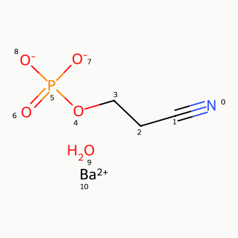 N#CCCOP(=O)([O-])[O-].O.[Ba+2]